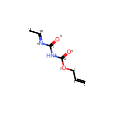 C=CCOC(=O)NC(=O)N=CC